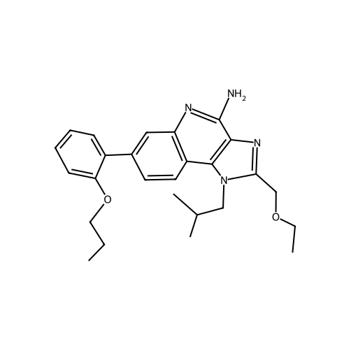 CCCOc1ccccc1-c1ccc2c(c1)nc(N)c1nc(COCC)n(CC(C)C)c12